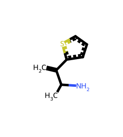 C=C(c1cccs1)C(C)N